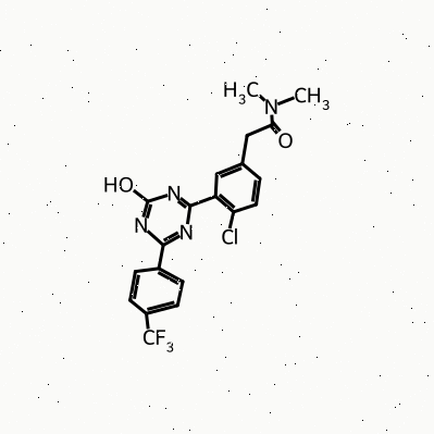 CN(C)C(=O)Cc1ccc(Cl)c(-c2nc(O)nc(-c3ccc(C(F)(F)F)cc3)n2)c1